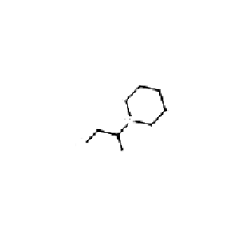 CC(C)(C)CC(O)N1CCCCC1